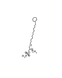 COC(COCCCCCCCCCCCCC1CCCCC1)COS(C)(=O)=O